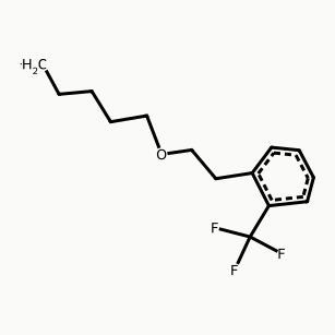 [CH2]CCCCOCCc1ccccc1C(F)(F)F